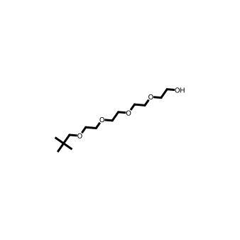 CC(C)(C)COCCOCCOCCOCCO